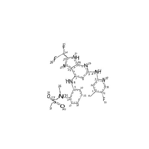 Cc1cc(Nc2cc(Nc3ccccc3N(C)S(C)(=O)=O)c3nc(C(F)F)[nH]c3n2)ncc1F